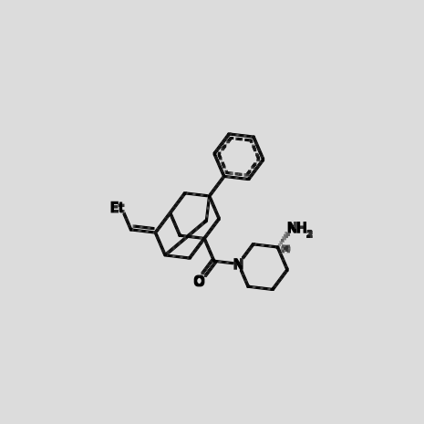 CCC=C1C2CC3(C(=O)N4CCC[C@@H](N)C4)CC1CC(c1ccccc1)(C2)C3